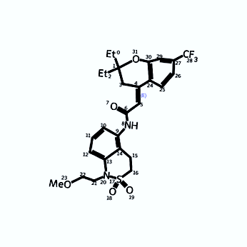 CCC1(CC)C/C(=C\C(=O)Nc2cccc3c2CCS(=O)(=O)N3CCOC)c2ccc(C(F)(F)F)cc2O1